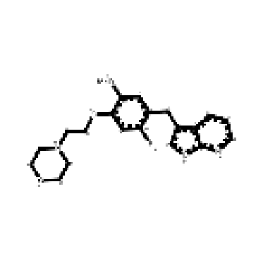 COc1cc(Cc2c[nH]c3ncccc23)c(F)cc1OCCN1CCOCC1